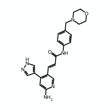 Nc1cc(-c2cn[nH]c2)c(/C=C/C(=O)Nc2ccc(CN3CCOCC3)cc2)cn1